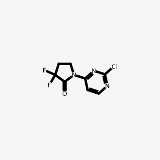 O=C1N(c2ccnc(Cl)n2)CCC1(F)F